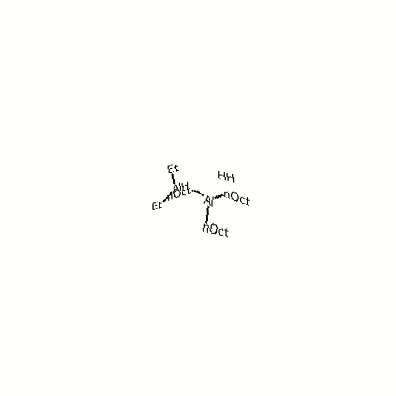 CCCCCCC[CH2][Al]([CH2]CCCCCCC)[CH2]CCCCCCC.C[CH2][AlH][CH2]C.[HH]